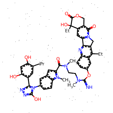 CCc1c2c(nc3ccc(OC(=N)N(C)CCN(C)C(=O)c4cc5cc(-n6c(O)nnc6-c6cc(C(C)C)c(O)cc6O)ccc5n4C)cc13)-c1cc3c(c(=O)n1C2)COC(=O)C3(O)CC